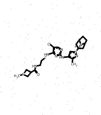 Cc1nn(C2CC3CCC(C2)N3C)cc1Nc1ncc(Cl)c(NCCCNC(=O)C2CN(C)C2)n1